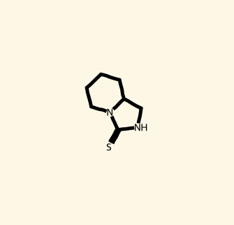 S=C1NCC2CCCCN12